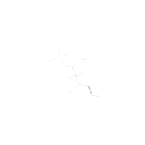 C/C=C/C(O)C(C)(C)C(OC)O[Si](C)(C)C(C)(C)C